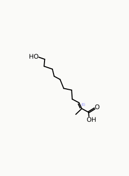 C/C(=C\CCCCCCCCO)C(=O)O